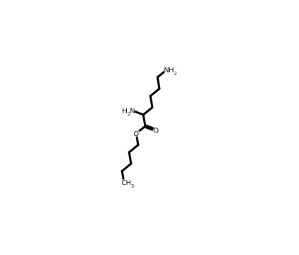 CCCCCOC(=O)C(N)CCCCN